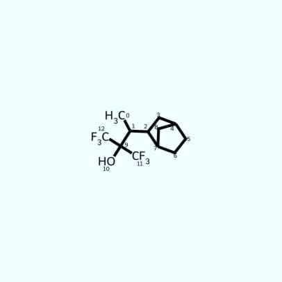 CC(C1CC2CCC1C2)C(O)(C(F)(F)F)C(F)(F)F